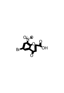 O=C(O)c1cc(=O)c2cc(Br)cc([N+](=O)[O-])c2o1